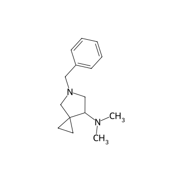 CN(C)C1CN(Cc2ccccc2)CC12CC2